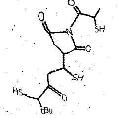 CC(S)C(=O)N1C(=O)CC(C(S)CC(=O)C(S)C(C)(C)C)C1=O